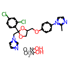 Cc1nccn1-c1ccc(OCC2COC(Cn3ccnc3)(c3ccc(Cl)cc3Cl)O2)cc1.O=[N+]([O-])O.O=[N+]([O-])O